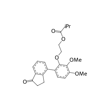 COc1ccc(-c2cccc3c2CCC3=O)c(OCCOC(=O)C(C)C)c1OC